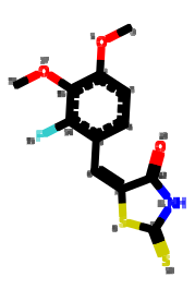 COc1ccc(C=C2SC(=S)NC2=O)c(F)c1OC